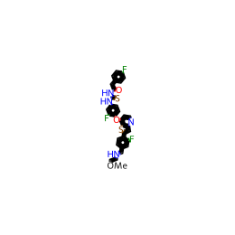 COCCNCc1ccc(-c2cc3nccc(Oc4ccc(NC(=S)NC(=O)Cc5ccc(F)cc5)cc4F)c3s2)c(F)c1